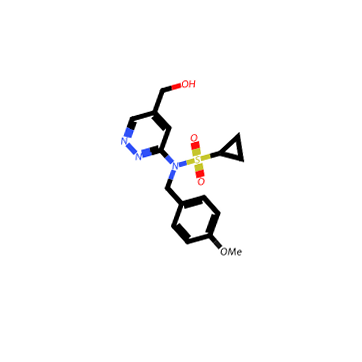 COc1ccc(CN(c2cc(CO)cnn2)S(=O)(=O)C2CC2)cc1